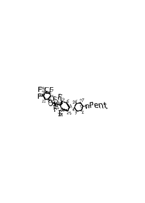 CCCCC[C@H]1CC[C@H](c2cc(F)c(C(F)(F)Oc3cc(F)c(C(F)(F)F)c(F)c3)c(F)c2)CC1